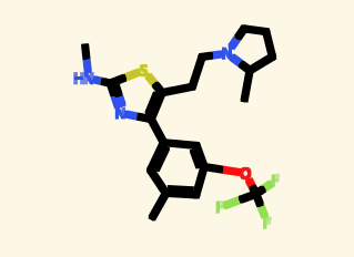 CNc1nc(-c2cc(C)cc(OC(F)(F)F)c2)c(CCN2CCCC2C)s1